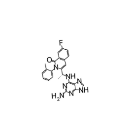 Cc1ccccc1-n1c([C@@H](C)Nc2nc(N)nc3[nH]cnc23)cc2ccc(F)cc2c1=O